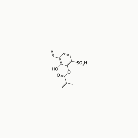 C=Cc1ccc(S(=O)(=O)O)c(OC(=O)C(=C)C)c1O